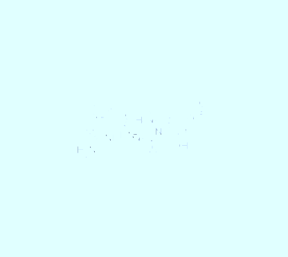 CC(=O)OCC1=C(C(=O)O)N2C(=O)[C@@H](NC(=O)C(NC(N)=O)c3cccs3)[C@H]2SC1